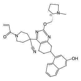 C=CC(=O)N1CCC(C#N)(c2nc(OC[C@@H]3CCCN3C)nc3c2CCC(c2cc(O)cc4ccccc24)C3)CC1